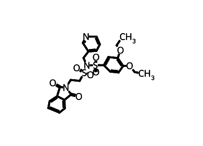 CCOc1ccc(S(=O)(=O)N(Cc2cccnc2)S(=O)(=O)CCN2C(=O)c3ccccc3C2=O)cc1OCC